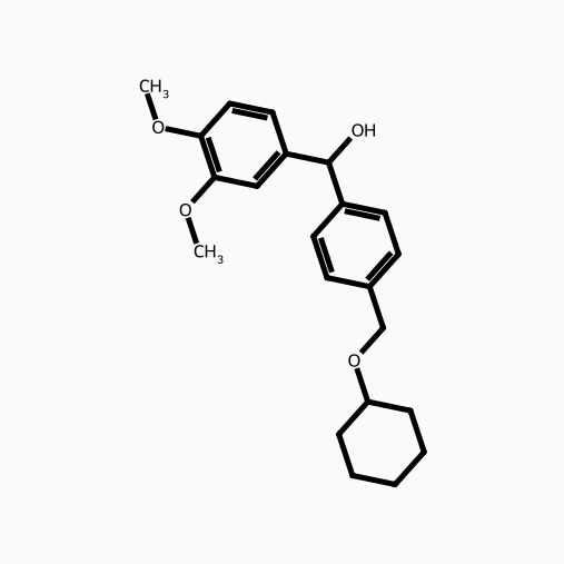 COc1ccc(C(O)c2ccc(COC3CCCCC3)cc2)cc1OC